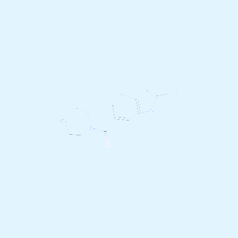 Cc1cc2ccc(C(=O)N3CCNCC3)cc2[nH]1